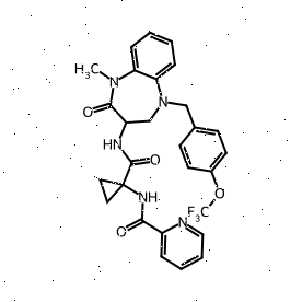 CN1C(=O)C(NC(=O)C2(NC(=O)c3ccccn3)CC2)CN(Cc2ccc(OC(F)(F)F)cc2)c2ccccc21